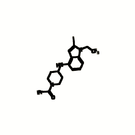 CC(C)C(=O)N1CCC(Nc2cccc3c2cc(I)n3CC(F)(F)F)CC1